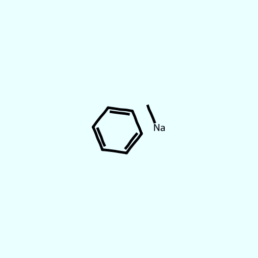 [CH3][Na].c1ccccc1